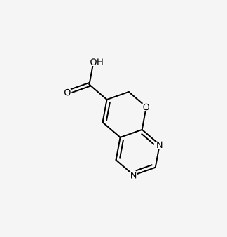 O=C(O)C1=Cc2cncnc2OC1